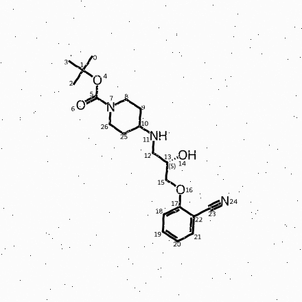 CC(C)(C)OC(=O)N1CCC(NC[C@H](O)COc2ccccc2C#N)CC1